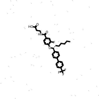 CCCCCC[C@@H](Oc1ccc(C(=O)NCCC(=O)O)cc1F)c1ccc(-c2ccc(C(F)(F)F)cc2)cc1